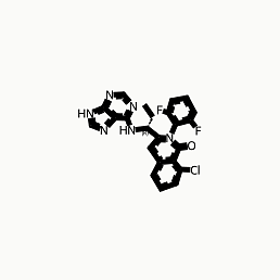 CC[C@@H](Nc1ncnc2[nH]cnc12)c1cc2cccc(Cl)c2c(=O)n1-c1c(F)cccc1F